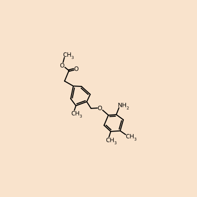 COC(=O)Cc1ccc(COc2cc(C)c(C)cc2N)c(C)c1